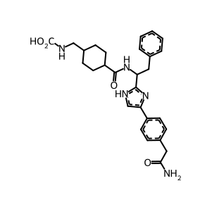 NC(=O)Cc1ccc(-c2c[nH]c(C(Cc3ccccc3)NC(=O)C3CCC(CNC(=O)O)CC3)n2)cc1